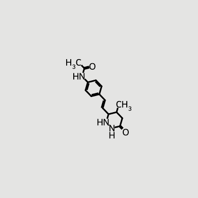 CC(=O)Nc1ccc(/C=C/C2NNC(=O)CC2C)cc1